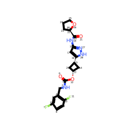 O=C(NCc1cc(F)ccc1F)O[C@H]1C[C@@H](c2cc(NC(=O)[C@H]3CCCO3)n[nH]2)C1